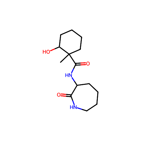 CC1(C(=O)NC2CCCCNC2=O)CCCCC1O